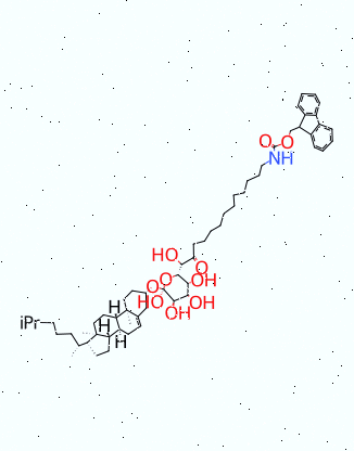 CC(C)CCC[C@@H](C)[C@H]1CC[C@H]2[C@@H]3CC=C4C[C@@H](O[C@@]5(O)O[C@H](C(O)C(=O)CCCCCCCCCCCNC(=O)OCC6c7ccccc7-c7ccccc76)[C@H](O)[C@H](O)[C@H]5O)CC[C@]4(C)[C@H]3CC[C@]12C